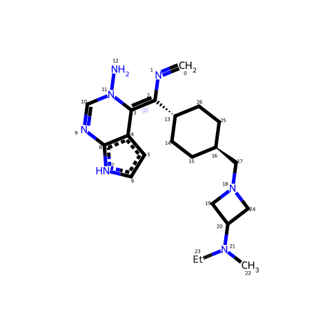 C=N/C(=C1/c2cc[nH]c2N=CN1N)[C@H]1CC[C@H](CN2CC(N(C)CC)C2)CC1